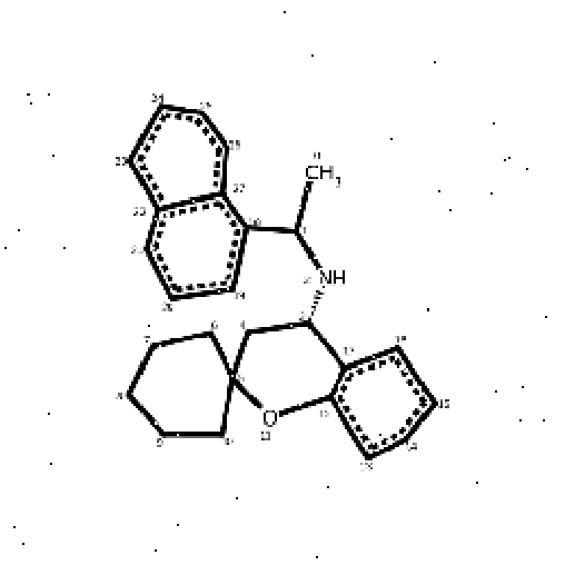 CC(N[C@H]1CC2(CCCCC2)Oc2ccccc21)c1cccc2ccccc12